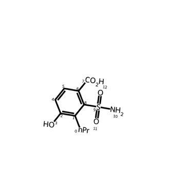 CCCc1c(O)ccc(C(=O)O)c1S(N)(=O)=O